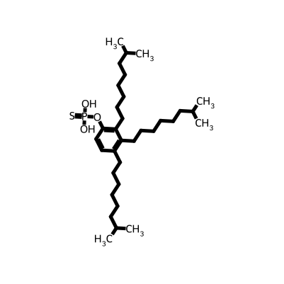 CC(C)CCCCCCc1ccc(OP(O)(O)=S)c(CCCCCCC(C)C)c1CCCCCCC(C)C